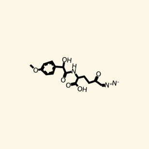 COc1ccc(C(O)C(=O)NC(CCC(=O)C=[N+]=[N-])C(=O)O)cc1